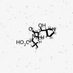 CC1(C)S[C@@H]2[C@H](C(O)c3cccnc3)C(=O)N2[C@H]1C(=O)O